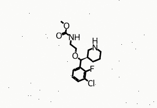 COC(=O)NCCOC(c1cccc(Cl)c1F)[C@@H]1CCCNC1